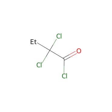 CCC(Cl)(Cl)C(=O)Cl